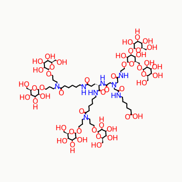 O=C(O)CCCCCNC(=O)CN(CC(=O)NCCO[C@H]1O[C@H](CO[C@H]2O[C@H](CO)[C@@H](O)[C@H](O)[C@@H]2O)[C@@H](O)[C@H](O[C@H]2O[C@H](CO)[C@@H](O)[C@H](O)[C@@H]2O)[C@@H]1O)CC(=O)N[C@@H](CCC(=O)NCCCCCC(=O)N(CCCO[C@H]1O[C@H](CO)[C@@H](O)[C@H](O)[C@@H]1O)CCCO[C@H]1O[C@H](CO)[C@@H](O)[C@H](O)[C@@H]1O)C(=O)NCCCCCC(=O)N(CCCO[C@H]1O[C@H](CO)[C@@H](O)[C@H](O)[C@@H]1O)CCCO[C@H]1O[C@H](CO)[C@@H](O)[C@H](O)[C@@H]1O